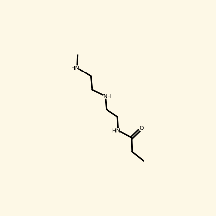 CCC(=O)NCCNCCNC